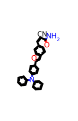 N#CC(=Cc1ccc2cc(-c3ccc(N(c4ccccc4)c4ccccc4)cc3)oc2c1)C(N)=O